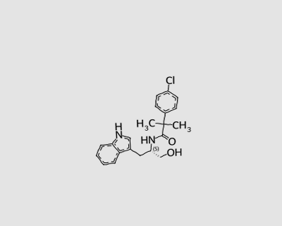 CC(C)(C(=O)N[C@H](CO)Cc1c[nH]c2ccccc12)c1ccc(Cl)cc1